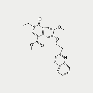 CCn1cc(C(=O)OC)c2cc(OCCc3ccc4ccccc4n3)c(OC)cc2c1=O